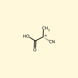 C[C@H](C#N)C(=O)O